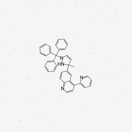 CC1(c2ccc3nccc(-c4ccccn4)c3c2)C=CN(C(c2ccccc2)(c2ccccc2)c2ccccc2)N1